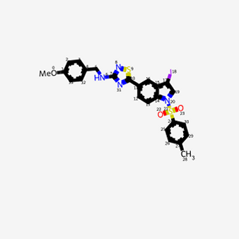 COc1ccc(CNc2nsc(-c3ccc4c(c3)c(I)cn4S(=O)(=O)c3ccc(C)cc3)n2)cc1